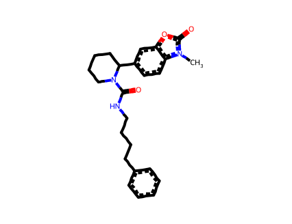 Cn1c(=O)oc2cc(C3CCCCN3C(=O)NCCCCc3ccccc3)ccc21